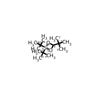 CC(C)(C)C1O[Si](C(C)(C)C)(C(C)(C)C)O1